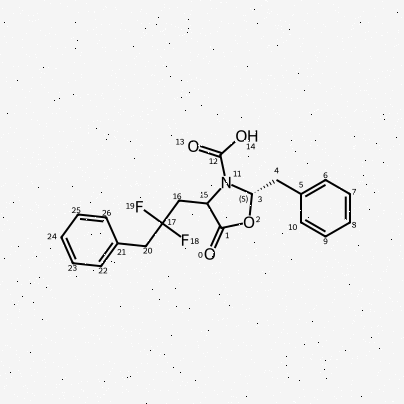 O=C1O[C@@H](Cc2ccccc2)N(C(=O)O)C1CC(F)(F)Cc1ccccc1